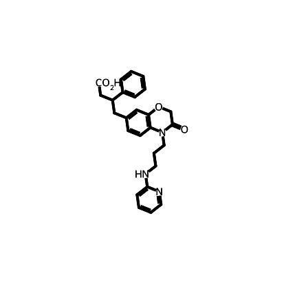 O=C(O)CC(Cc1ccc2c(c1)OCC(=O)N2CCCNc1ccccn1)c1ccccc1